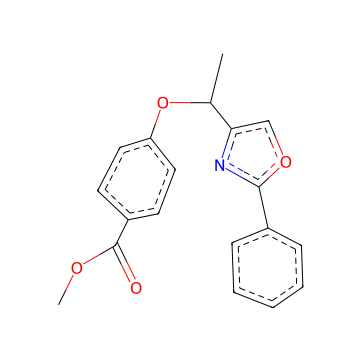 COC(=O)c1ccc(OC(C)c2coc(-c3ccccc3)n2)cc1